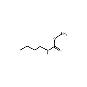 CCCCNC(=O)ON